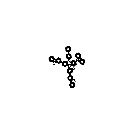 c1ccc(-c2ccc(N3c4cc(-c5ccc6c(c5)sc5ccccc56)ccc4B4c5ccc(-c6ccc7c(c6)sc6ccccc67)cc5Sc5cc(-n6c7ccccc7c7ccccc76)cc3c54)cc2)cc1